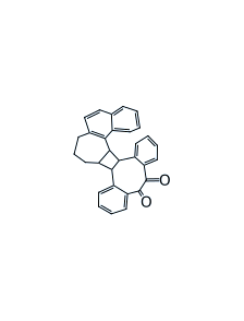 O=C1C(=O)c2ccccc2C2C(c3ccccc31)C1CCCc3ccc4ccccc4c3C12